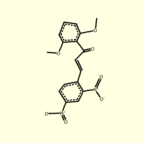 COc1cccc(OC)c1C(=O)/C=C/c1ccc([N+](=O)[O-])cc1[N+](=O)[O-]